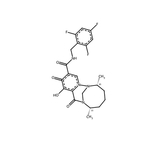 C[C@@H]1CCC[C@H](C)N2CN1n1cc(C(=O)NCc3c(F)cc(F)cc3F)c(=O)c(O)c1C2=O